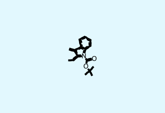 C=c1/c(=C\C)n(C(=O)OC(C)(C)C)c2ccccc12